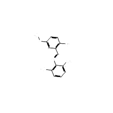 COc1ccc(O)c(/C=N/c2c(C)c[c]cc2C)c1